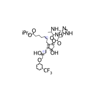 CC(C)OC(=O)CCC/C=C\C[C@@H]1[C@@H](/C=C/[C@@H](O)COc2cccc(C(F)(F)F)c2)[C@H](O)C[C@@H]1OC(=O)C(Cc1cnc[nH]1)NC(=O)C(C)N